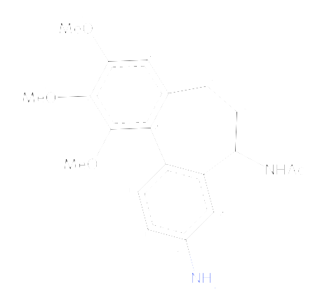 COc1cc2c(c(OC)c1OC)-c1ccc(N)cc1C(NC(C)=O)CC2